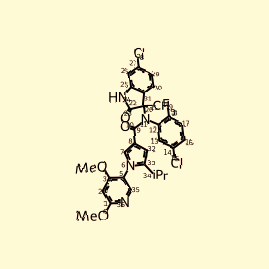 COc1cc(OC)c(-n2cc(C(=O)N(c3cc(Cl)ccc3F)C3(C)C(=O)Nc4cc(Cl)ccc43)cc2C(C)C)cn1